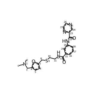 CN(C)Cc1ccc(CSCCNC(=O)c2cccc(NC(=O)c3cnccn3)c2)o1